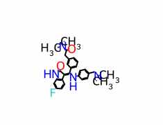 CN(C)Cc1ccc(NC(=C2C(=O)Nc3cc(F)ccc32)c2cccc(CC(=O)N(C)C)c2)cc1